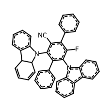 N#Cc1c(-c2ccccc2)c(F)c(-n2c3ccccc3c3ccccc32)c(-c2ccccc2)c1N1c2ccccc2C2C=CC=CC21